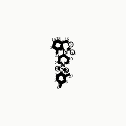 Cc1ccc(S(=O)(=O)N2CCC(N3C(=O)OCc4cccc(C)c43)CC2)c(C)c1